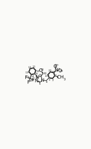 Cc1cc(CN2C=NN(c3ccccc3C(F)(F)F)C2C=O)ccc1[N+](=O)[O-]